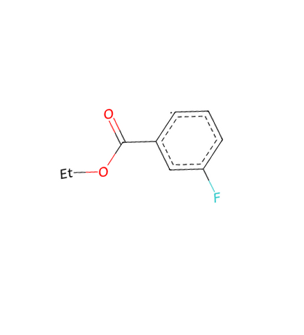 CCOC(=O)c1[c]ccc(F)c1